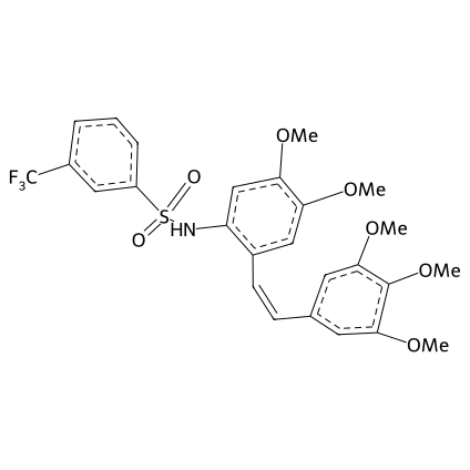 COc1cc(/C=C\c2cc(OC)c(OC)c(OC)c2)c(NS(=O)(=O)c2cccc(C(F)(F)F)c2)cc1OC